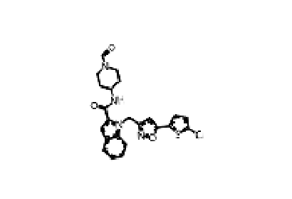 O=CN1CCC(NC(=O)c2cc3ccccc3n2Cc2cc(-c3ccc(Cl)s3)on2)CC1